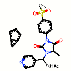 CC(=O)NC(c1ccncc1)N1C(=O)N(c2ccc(S(=O)(=O)C(F)(F)F)cc2)C(=O)C1C.c1cc2cc-2c1